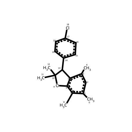 Cc1cc(C)c2c(c1C)OC(C)(C)C2c1ccc(Cl)cc1